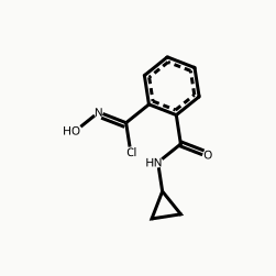 O=C(NC1CC1)c1ccccc1C(Cl)=NO